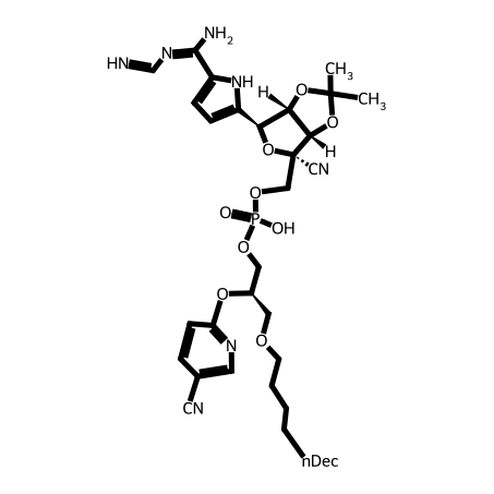 CCCCCCCCCCCCCCOC[C@H](COP(=O)(O)OC[C@@]1(C#N)O[C@@H](c2ccc(/C(N)=N\C=N)[nH]2)[C@@H]2OC(C)(C)O[C@@H]21)Oc1ccc(C#N)cn1